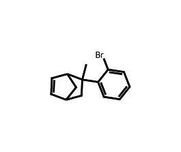 CC1(c2ccccc2Br)CC2C=CC1C2